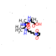 CC(CCC(=O)O)NC(=O)[C@H](C)NC(=O)[C@@H](NC(=O)CCCCCN1C(=O)C=CC1=O)C(C)C